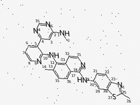 CNc1cc(-c2cccnc2Nc2c(C)ccc3c(Nc4ccc5nc(C)sc5c4)nccc23)ncn1